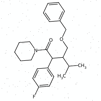 CC(C)C(COCc1ccccc1)C(C(=O)N1CCCCC1)c1ccc(F)cc1